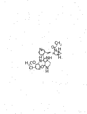 C=CC(=O)N1[C@@H]2C[C@@H]2C[C@@H]1C#Cc1cnccc1-c1[nH]c2c(c1Nc1cccc(Cl)c1OC)C(=O)NCC2